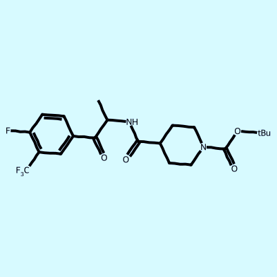 CC(NC(=O)C1CCN(C(=O)OC(C)(C)C)CC1)C(=O)c1ccc(F)c(C(F)(F)F)c1